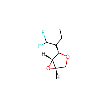 CCC(C(F)F)[C@H]1OC[C@@H]2O[C@@H]21